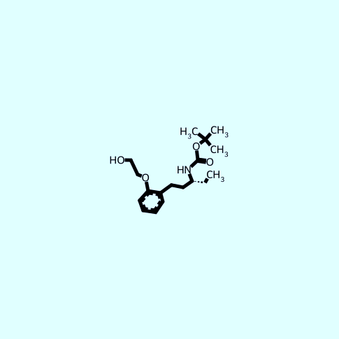 CC[C@H](CCc1ccccc1OCCO)NC(=O)OC(C)(C)C